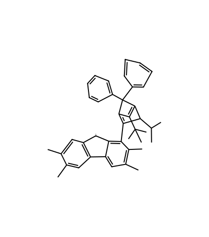 Cc1cc2c(cc1C)-c1cc(C)c(C)c(C3=C4C(C(C)(C)C)=C(C3C(C)C)C4(c3ccccc3)c3ccccc3)c1[CH]2